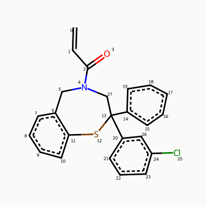 C=CC(=O)N1Cc2ccccc2SC(c2ccccc2)(c2cccc(Cl)c2)C1